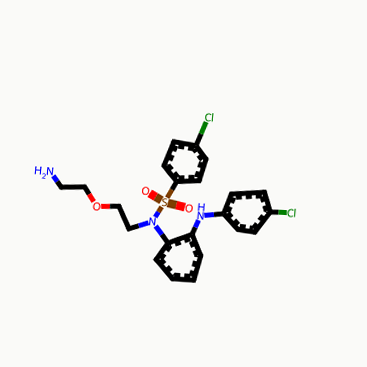 NCCOCCN(c1ccccc1Nc1ccc(Cl)cc1)S(=O)(=O)c1ccc(Cl)cc1